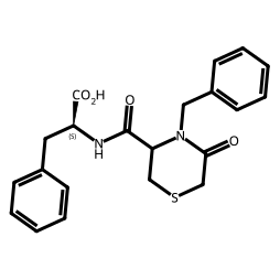 O=C(N[C@@H](Cc1ccccc1)C(=O)O)C1CSCC(=O)N1Cc1ccccc1